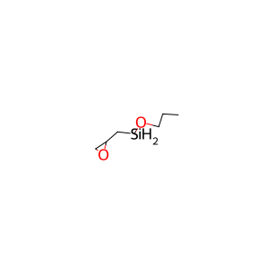 CCCO[SiH2]CC1CO1